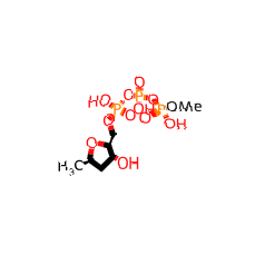 COP(=O)(O)OP(=O)(O)OP(=O)(O)OC[C@@H]1O[C@H](C)CC1O